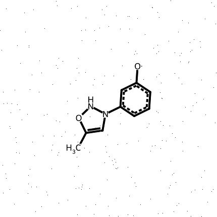 CC1=CN(c2cccc([O])c2)NO1